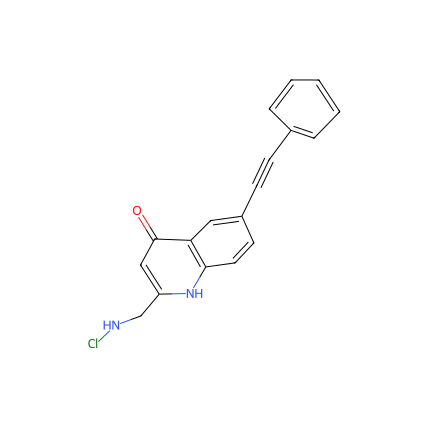 O=c1cc(CNCl)[nH]c2ccc(C#Cc3ccccc3)cc12